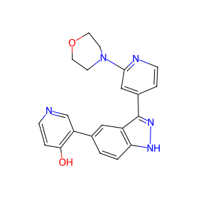 Oc1ccncc1-c1ccc2[nH]nc(-c3ccnc(N4CCOCC4)c3)c2c1